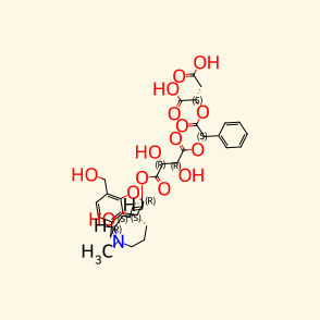 CN1CCC[C@]23c4c5ccc(CO)c4O[C@H]2C(OC(=O)[C@H](O)[C@@H](O)C(=O)O[C@H](C(=O)O[C@@H](CC(=O)O)C(=O)O)c2ccccc2)=CC[C@@]3(O)[C@H]1C5